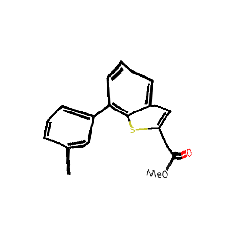 COC(=O)c1cc2cccc(-c3cccc(C)c3)c2s1